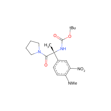 CNc1ccc([C@@](C)(NC(=O)OC(C)(C)C)C(=O)N2CCCC2)cc1[N+](=O)[O-]